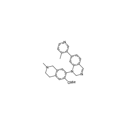 COc1cc2c(cc1N1CN=Cc3ccc(-c4cnccc4C)cc31)CN(C)CC2